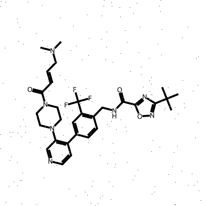 CN(C)C/C=C/C(=O)N1CCN(c2cnccc2-c2ccc(CNC(=O)c3nc(C(C)(C)C)no3)c(C(F)(F)F)c2)CC1